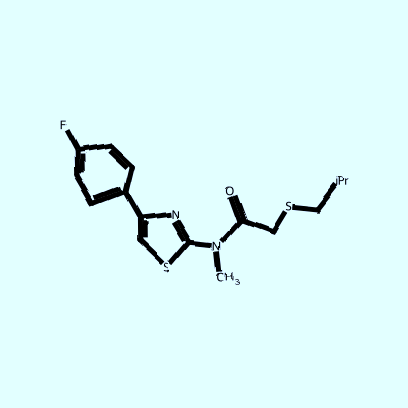 CC(C)CSCC(=O)N(C)c1nc(-c2ccc(F)cc2)cs1